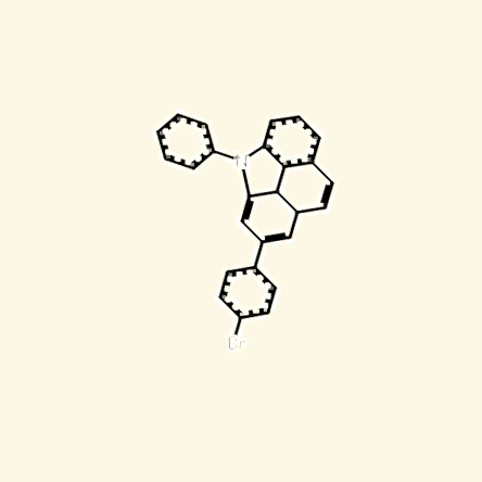 Brc1ccc(C2=CC3C=Cc4cccc5c4C3C(=C2)N5c2ccccc2)cc1